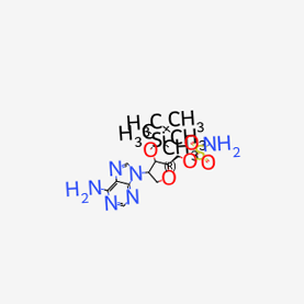 CC(C)(C)[Si](C)(C)OC1C(n2cnc3c(N)ncnc32)CO[C@@H]1COS(N)(=O)=O